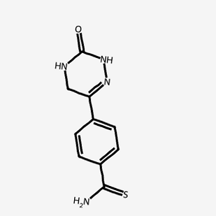 NC(=S)c1ccc(C2=NNC(=O)NC2)cc1